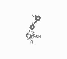 CC1SCCN(S(=O)(=O)c2ccc(OCc3cccc(Cl)c3)cc2)C1C(=O)NO